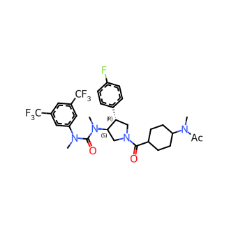 CC(=O)N(C)C1CCC(C(=O)N2C[C@@H](N(C)C(=O)N(C)c3cc(C(F)(F)F)cc(C(F)(F)F)c3)[C@H](c3ccc(F)cc3)C2)CC1